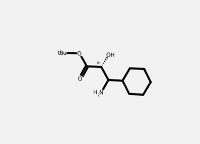 CC(C)(C)OC(=O)[C@H](O)C(N)C1CCCCC1